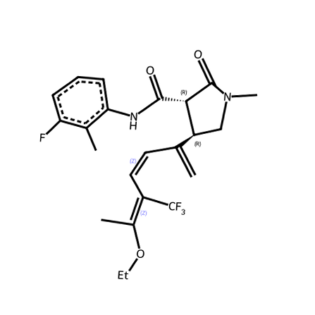 C=C(/C=C\C(=C(/C)OCC)C(F)(F)F)[C@@H]1CN(C)C(=O)[C@H]1C(=O)Nc1cccc(F)c1C